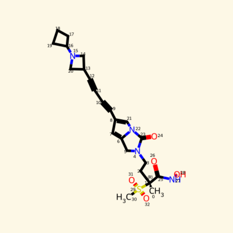 C[C@@](CCN1Cc2cc(C#CC#CC3CN(C4CCC4)C3)cn2C1=O)(C(=O)NO)S(C)(=O)=O